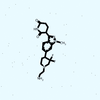 Cn1nc(C2CCC(=O)NC2=O)c2ccc(C3CCN(CCN)CC3(F)F)cc21